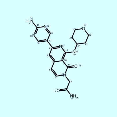 NC(=O)Cn1ccc2cc(-c3cnc(N)nc3)nc(NC3CCOCC3)c2c1=O